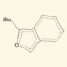 CCC(C)c1occ2ccccc12